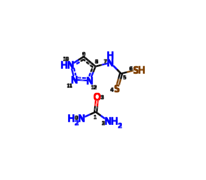 NC(N)=O.S=C(S)Nc1c[nH]nn1